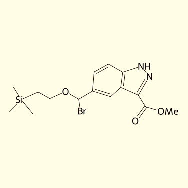 COC(=O)c1n[nH]c2ccc(C(Br)OCC[Si](C)(C)C)cc12